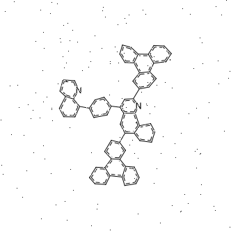 c1cnc2c(-c3ccc(-c4cc(-c5ccc6c7ccccc7c7ccccc7c6c5)nc5c4cc(-c4ccc6c7ccccc7c7ccccc7c6c4)c4ccccc45)cc3)cccc2c1